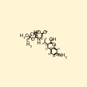 CC(C)(C)OC(=O)N[C@@H](CCC(Cc1ccc(N)cc1)C(=O)O)C(=O)O